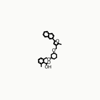 Cc1cccc(CO[C@@H]2CCC[C@H](OCc3cc(-c4ccc5ccccc5c4)oc3C)C2)c1C(=O)O